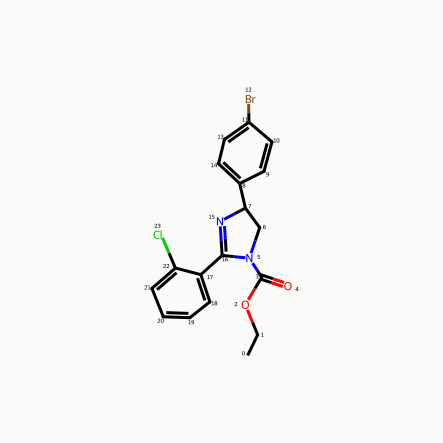 CCOC(=O)N1CC(c2ccc(Br)cc2)N=C1c1ccccc1Cl